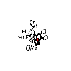 COc1cccc(C(NC(=O)O)[C@](CCCO)(CN(C)C(=O)CC(F)(F)F)c2ccc(Cl)c(Cl)c2)c1